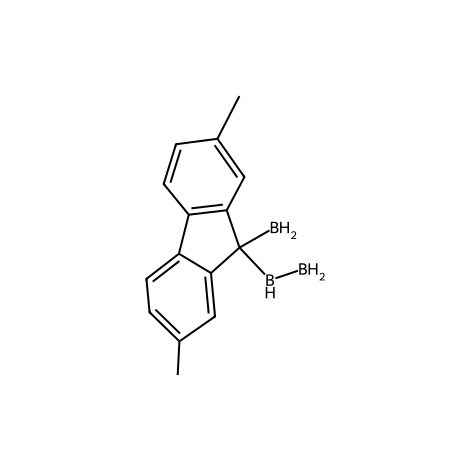 BBC1(B)c2cc(C)ccc2-c2ccc(C)cc21